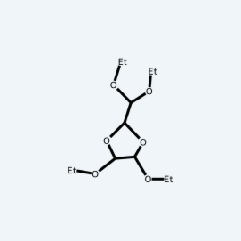 CCOC(OCC)C1OC(OCC)C(OCC)O1